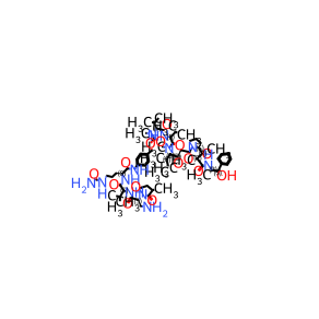 CC[C@H](C)[C@@H]([C@@H](CC(=O)N1CCC[C@H]1[C@H](OC)[C@@H](C)C(=O)N[C@H](C)[C@@H](O)c1ccccc1)OC)N(C)C(=O)[C@@H](NC(=O)[C@H](C(C)C)N(C)C(=O)OCc1ccc(NC(=O)[C@H](CCCNC(N)=O)NC(=O)[C@@H](NC(=O)[C@H](CN)N2C(=O)CC(C)C2=O)C(C)C)cc1)C(C)C